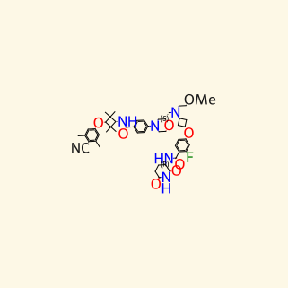 COCCN(C[C@H]1CN(c2ccc(C(=O)N[C@H]3C(C)(C)[C@@H](Oc4cc(C)c(C#N)c(C)c4)C3(C)C)cc2)CCO1)[C@H]1C[C@H](Oc2ccc(C(=O)N[C@@H]3CCC(=O)NC3=O)c(F)c2)C1